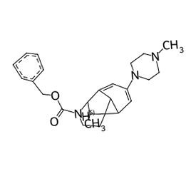 C[C@@H]1C2C3=CC(N4CCN(C)CC4)=CC4C3C41CCN2C(=O)OCc1ccccc1